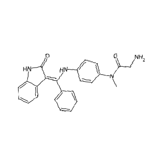 CN(C(=O)CN)c1ccc(N/C(=C2\C(=O)Nc3ccccc32)c2ccccc2)cc1